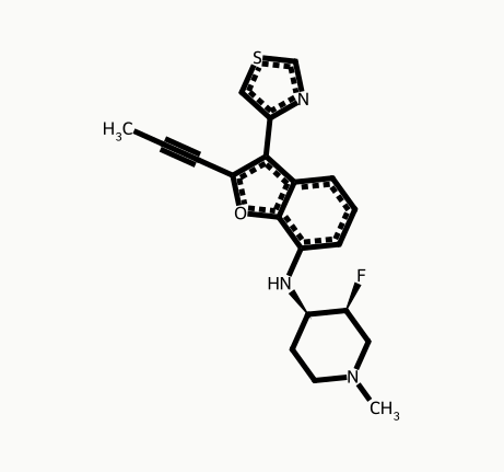 CC#Cc1oc2c(N[C@@H]3CCN(C)C[C@@H]3F)cccc2c1-c1cscn1